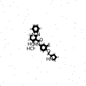 Cl.O=C(Nc1ccc(OC[C@H]2CCCN2)c(F)c1)C1=C(O)CCn2c1nc1ccccc12